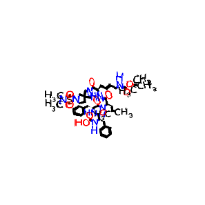 CC(C)C[C@@H](NC(=O)[C@@H](Cc1ccccc1)NC(=O)[C@@H](Cc1ccccc1)NC(=O)O)C(=O)N[C@H](CCCCNC(=O)OC(C)(C)C)C(=O)N1CC2(CCN(S(=O)(=O)N(C)C)C2)C1